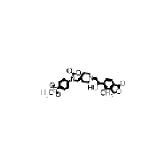 Cc1c(C(O)CN2CCC3(CC2)CN(c2ccc(S(C)(=O)=O)cc2)C(=O)O3)ccc2c1COC2=O